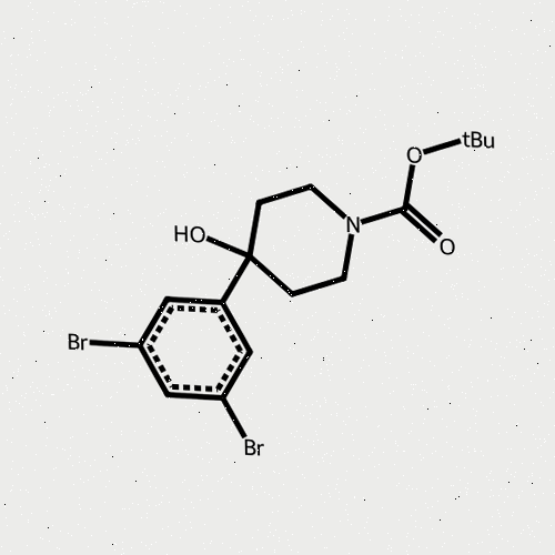 CC(C)(C)OC(=O)N1CCC(O)(c2cc(Br)cc(Br)c2)CC1